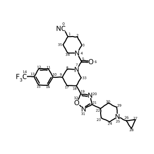 N#CC1CCN(C(=O)N2CC(c3ccc(C(F)(F)F)cc3)CC(c3nc(C4CCN(C5CC5)CC4)no3)C2)CC1